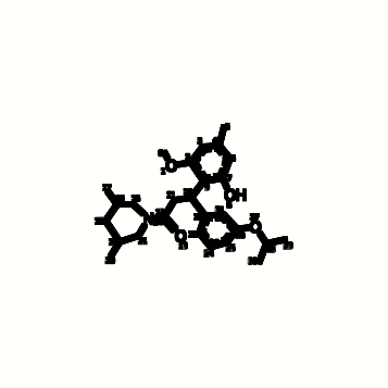 COc1cc(C)cc(O)c1C(CC(=O)N1CC(C)CC(C)C1)c1cccc(OC(C)C)c1